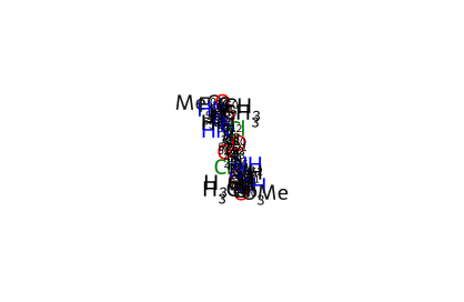 COC(=O)N[C@H](C(=O)N1[C@H](c2nc(Cl)c(-c3cc4c5c(c3)OCc3cc(-c6[nH]c([C@@H]7C[C@@H]8C[C@@H]8N7C(=O)[C@@H](NC(=O)OC)C(C)(C)C(F)(F)F)nc6Cl)cc(c3-5)OC4)[nH]2)C[C@@H]2C[C@@H]21)C(C)(C)C(F)(F)F